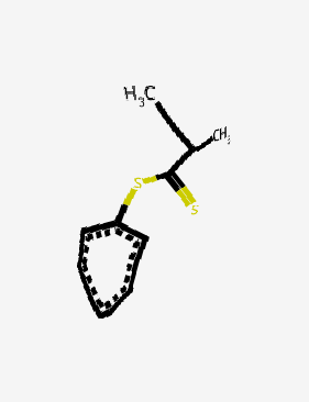 CC(C)C(=S)Sc1ccccc1